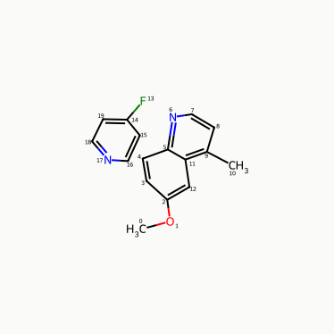 COc1ccc2nccc(C)c2c1.Fc1ccncc1